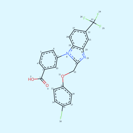 O=C(O)c1cccc(-n2c(COc3ccc(F)cc3)nc3cc(C(F)(F)F)ccc32)c1